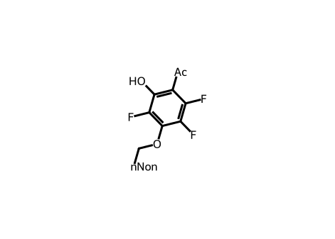 CCCCCCCCCCOc1c(F)c(O)c(C(C)=O)c(F)c1F